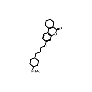 CC(=O)NC1CCN(CCCOc2ccc3c4c(c(=O)oc3c2)CCCC4)CC1